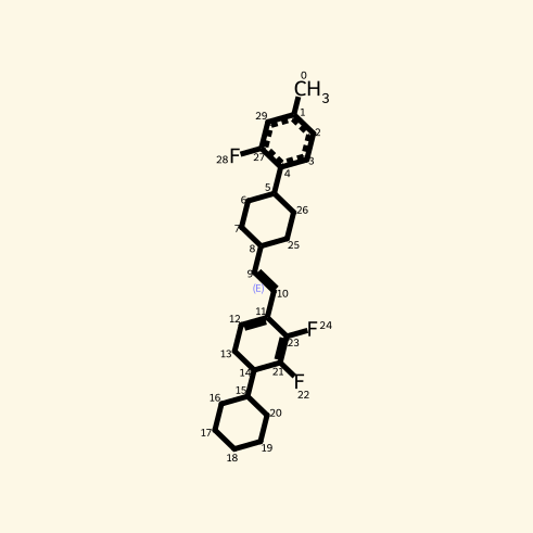 Cc1ccc(C2CCC(/C=C/C3=CCC(C4CCCCC4)C(F)=C3F)CC2)c(F)c1